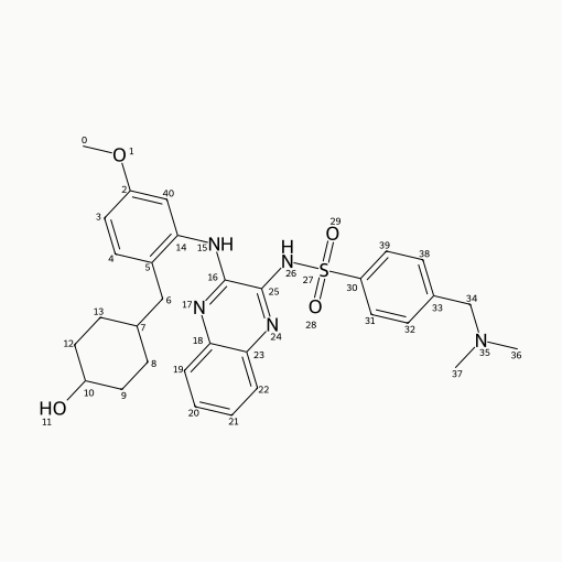 COc1ccc(CC2CCC(O)CC2)c(Nc2nc3ccccc3nc2NS(=O)(=O)c2ccc(CN(C)C)cc2)c1